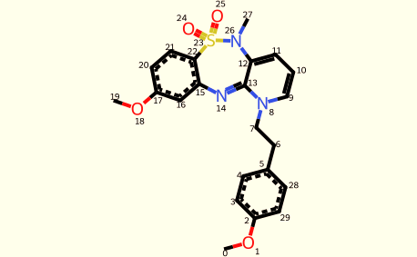 COc1ccc(CCN2C=CC=C3C2=Nc2cc(OC)ccc2S(=O)(=O)N3C)cc1